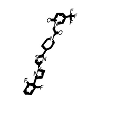 O=C(Cn1cc(C(F)(F)F)ccc1=O)N1CCC(c2nc(-n3ccc(-c4c(F)cccc4F)n3)cs2)CC1